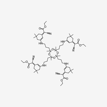 CCOC(=O)/C(C#N)=C1/C=C(NCCC[Si]2(C)O[Si](C)(CCCNC3=C/C(=C(\C#N)C(=O)OCC)CC(C)(C)C3)O[Si](C)(CCCNC3=C/C(=C(\C#N)C(=O)OCC)CC(C)(C)C3)O[Si](C)(CCCNC3=C/C(=C(\C#N)C(=O)OCC)CC(C)(C)C3)O2)CC(C)(C)C1